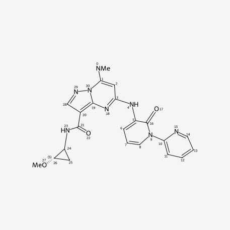 CNc1cc(Nc2cccn(-c3ccccn3)c2=O)nc2c(C(=O)NC3C[C@@H]3OC)cnn12